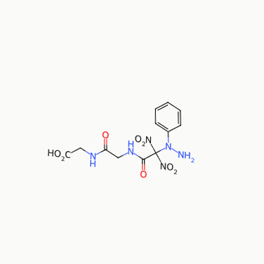 NN(c1ccccc1)C(C(=O)NCC(=O)NCC(=O)O)([N+](=O)[O-])[N+](=O)[O-]